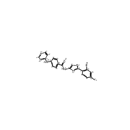 O=C(Nc1csc(-c2ccc(F)cc2F)n1)c1ccc(Nc2ccncn2)cc1